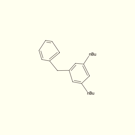 CCCCc1cc(CCCC)cc(Cc2ccccc2)c1